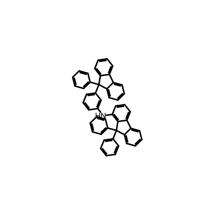 c1ccc(C2(c3cccc(Nc4cccc5c4C(c4ccccc4)(c4ccccc4)c4ccccc4-5)c3)c3ccccc3-c3ccccc32)cc1